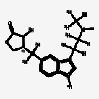 [2H]N1C(=O)OC[C@@H]1C([2H])([2H])c1ccc2c(c1)c(C([2H])([2H])C([2H])([2H])N(C)C([2H])([2H])[2H])cn2[2H]